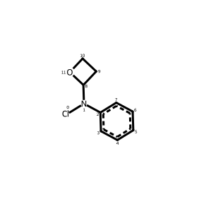 ClN(c1ccccc1)C1CCO1